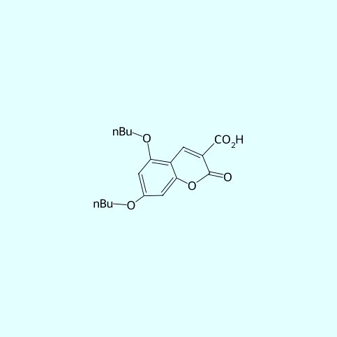 CCCCOc1cc(OCCCC)c2cc(C(=O)O)c(=O)oc2c1